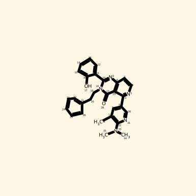 Cc1cc(-c2nccc3nc(-c4ccccc4O)n(CCc4ccccc4)c(=O)c23)cnc1N(C)C